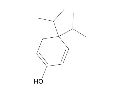 CC(C)C1(C(C)C)C=CC(O)=CC1